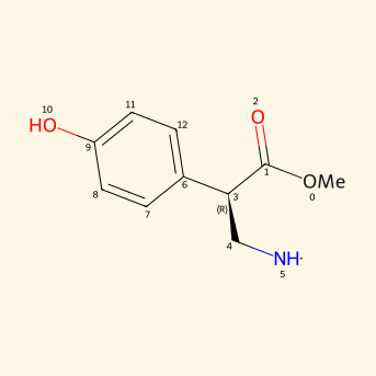 COC(=O)[C@@H](C[NH])c1ccc(O)cc1